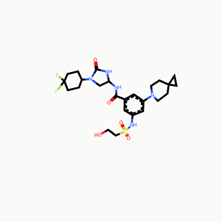 O=C(NC1CN(C2CCC(F)(F)CC2)C(=O)N1)c1cc(NS(=O)(=O)CCO)cc(N2CCC3(CC2)CC3)c1